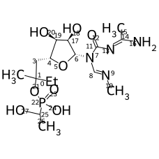 CCC(C)(C[C@H]1O[C@@H](N(/C=N/C)C(=O)/N=C(\C)N)[C@H](O)[C@@H]1O)OP(=O)(O)C(C)O